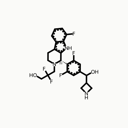 OCC(F)(F)CN1CCc2c([nH]c3c(F)cccc23)[C@@H]1c1c(F)cc(C(O)C2CNC2)cc1F